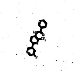 O=C(Nc1ccc(-c2cncc(F)c2)nc1C(F)(F)F)c1ccccc1